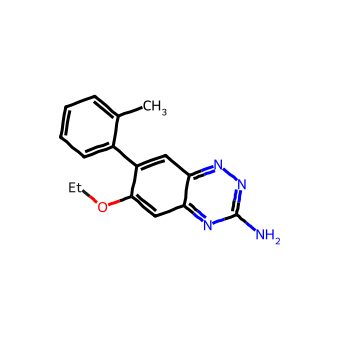 CCOc1cc2nc(N)nnc2cc1-c1ccccc1C